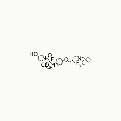 O=C(O)[C@@H]1C[C@@H](O)CN1C(=O)C1(F)C=CC=CC1c1ccc(OCC2CCN(CC3(C(F)(F)F)CCC3)CC2)cc1